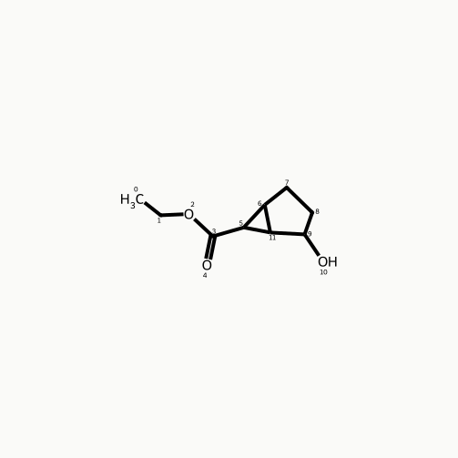 CCOC(=O)C1C2CCC(O)C21